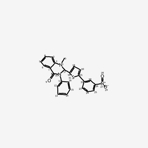 CN1c2ccccc2C(=O)N(c2ccccc2)C1c1ccc(-c2cccc([N+](=O)[O-])c2)s1